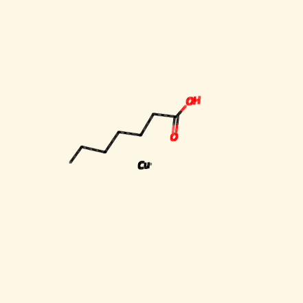 CCCCCCC(=O)O.[Cu]